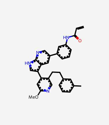 C=CC(=O)Nc1cccc(-c2cnc3[nH]cc(-c4cc(OC)ncc4CCc4cccc(C)c4)c3c2)c1